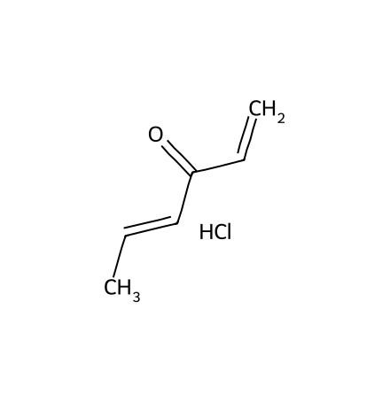 C=CC(=O)C=CC.Cl